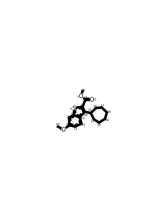 COC(=O)c1sc2cc(OC)ccc2c1C1CCCCCC1